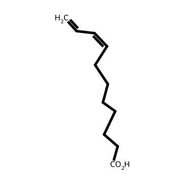 C=C/C=C\CCCCCCC(=O)O